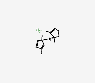 CC1=C[C](C)([Hf+2][C]2(C)C=CC=C2C)C=C1.[Cl-].[Cl-]